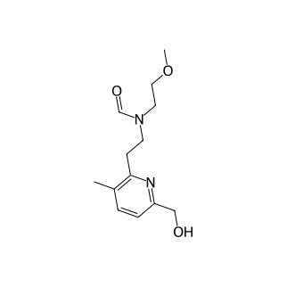 COCCN(C=O)CCc1nc(CO)ccc1C